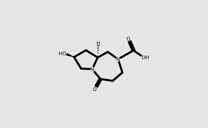 O=C(O)N1CCC(=O)N2C[C@@H](O)C[C@H]2C1